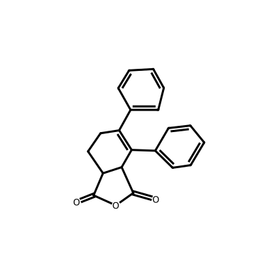 O=C1OC(=O)C2C(c3ccccc3)=C(c3ccccc3)CCC12